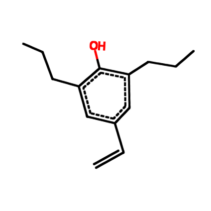 C=Cc1cc(CCC)c(O)c(CCC)c1